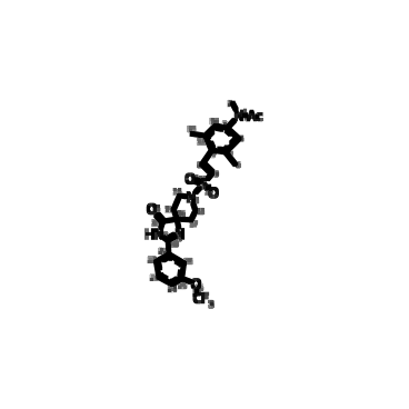 CC(=O)N(C)c1cc(C)c(C=CS(=O)(=O)N2CCC3(CC2)N=C(c2cccc(OC(F)(F)F)c2)NC3=O)c(C)c1